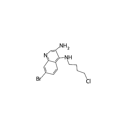 Nc1cnc2cc(Br)ccc2c1NCCCCCl